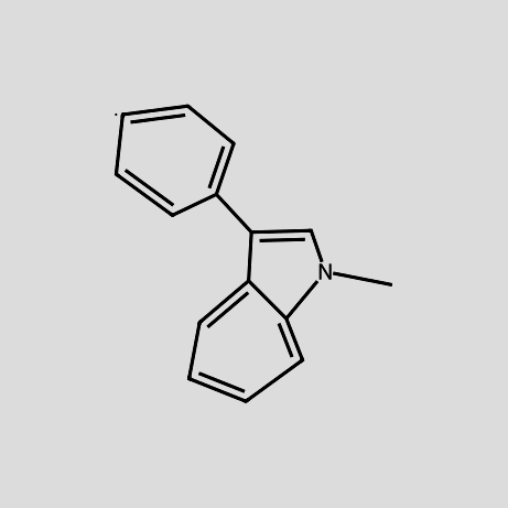 Cn1cc(-c2cc[c]cc2)c2ccccc21